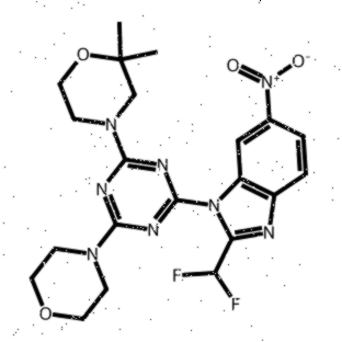 CC1(C)CN(c2nc(N3CCOCC3)nc(-n3c(C(F)F)nc4ccc([N+](=O)[O-])cc43)n2)CCO1